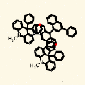 CN1c2ccccc2C(c2ccccc2)(c2ccccc2)c2c(-c3cccc4c(-c5cc(-c6ccccc6)cc6ccccc56)c5cccc(-c6cccc7c6C(c6ccccc6)(c6ccccc6)c6ccccc6N7C)c5cc34)cccc21